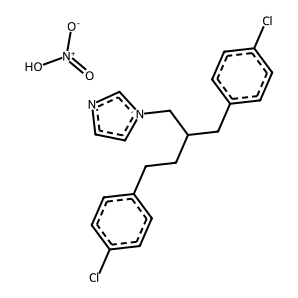 Clc1ccc(CCC(Cc2ccc(Cl)cc2)Cn2ccnc2)cc1.O=[N+]([O-])O